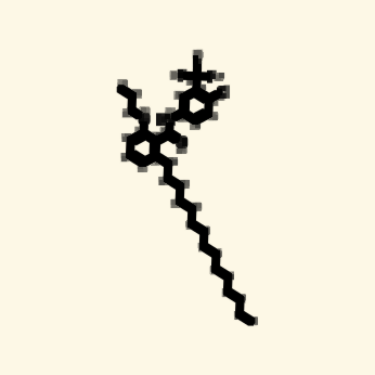 CCCCCCCCCCCCCCCc1cccc(OCCC)c1C(=O)Nc1ccc(Cl)c(C(F)(F)F)c1